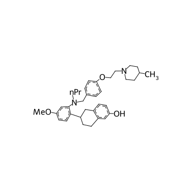 CCCN(Cc1ccc(OCCN2CCC(C)CC2)cc1)c1cc(OC)ccc1C1CCc2cc(O)ccc2C1